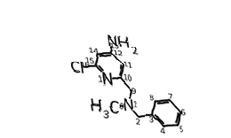 CN(Cc1ccccc1)Cc1cc(N)cc(Cl)n1